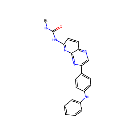 CCNC(=O)Nc1ccc2ncc(-c3ccc(Nc4ccccc4)cc3)nc2n1